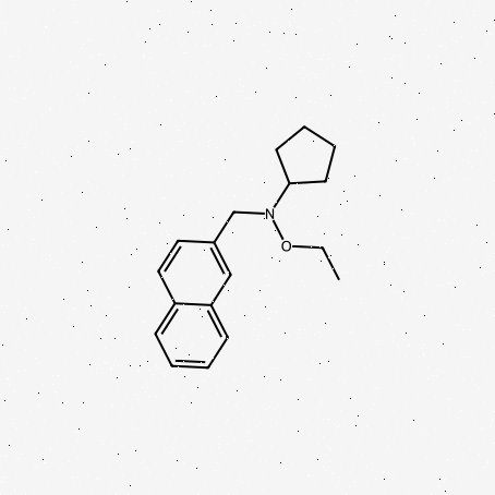 CCON(Cc1ccc2ccccc2c1)C1CCCC1